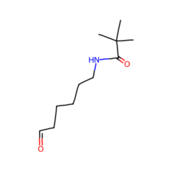 CC(C)(C)C(=O)NCCCCCC=O